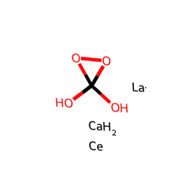 OC1(O)OO1.[CaH2].[Ce].[La]